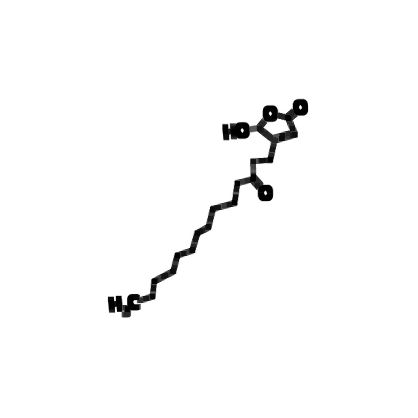 CCCCCCCCCCCC(=O)CCC1=CC(=O)OC1O